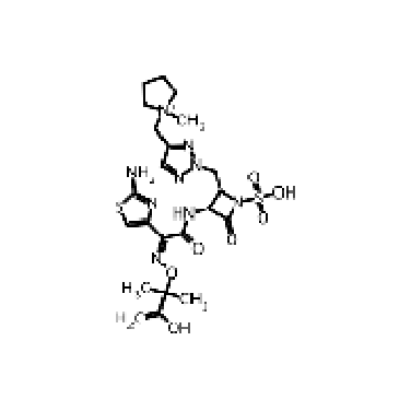 C=C(O)C(C)(C)O/N=C(\C(=O)N[C@@H]1C(=O)N(S(=O)(=O)O)[C@@H]1Cn1ncc(C[N+]2(C)CCCC2)n1)c1csc(N)n1